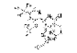 O=CC1N[C@]2(CCCc3c2cc(-c2ncc(C(F)(F)F)cc2OC(F)F)nc3Cl)CO1